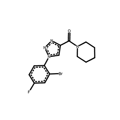 O=C(c1cn(-c2ccc(F)cc2Br)nn1)N1CCCCC1